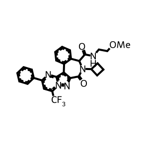 COCCNC(=O)C1c2ccccc2-c2c(nn3c(C(F)(F)F)cc(-c4ccccc4)nc23)C(=O)N1C1CCC1